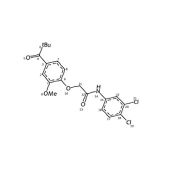 COc1cc(C(=O)C(C)(C)C)ccc1OCC(=O)Nc1ccc(Cl)c(Cl)c1